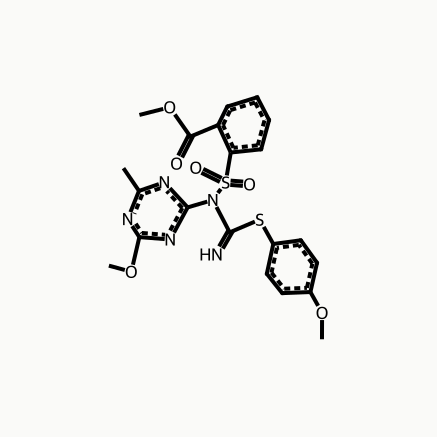 COC(=O)c1ccccc1S(=O)(=O)N(C(=N)Sc1ccc(OC)cc1)c1nc(C)nc(OC)n1